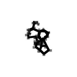 COC1(c2cccc(C(N)=O)c2)C2CCC1CN(CCC(C)C)C2